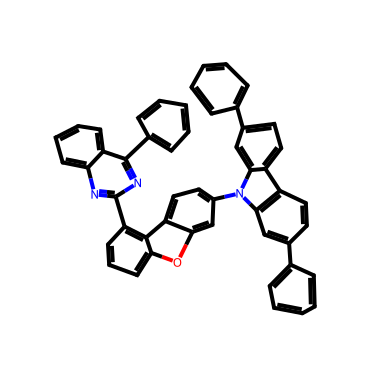 c1ccc(-c2ccc3c4ccc(-c5ccccc5)cc4n(-c4ccc5c(c4)oc4cccc(-c6nc(-c7ccccc7)c7ccccc7n6)c45)c3c2)cc1